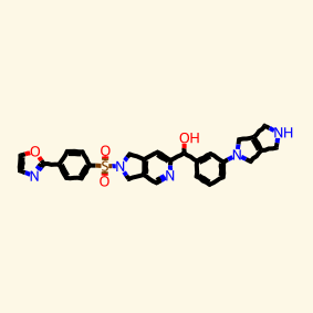 O=S(=O)(c1ccc(-c2ncco2)cc1)N1Cc2cnc(C(O)c3cccc(N4CC5=C(CNC5)C4)c3)cc2C1